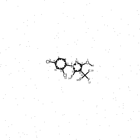 COc1nn(-c2ccc(Cl)cc2Cl)c(F)c1C(F)(F)F